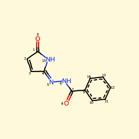 O=C1C=CC(=NNC(=O)c2ccccc2)N1